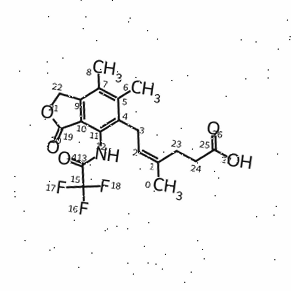 CC(=CCc1c(C)c(C)c2c(c1NC(=O)C(F)(F)F)C(=O)OC2)CCC(=O)O